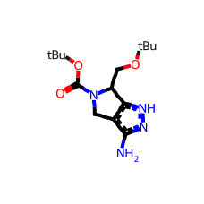 CC(C)(C)OCC1c2[nH]nc(N)c2CN1C(=O)OC(C)(C)C